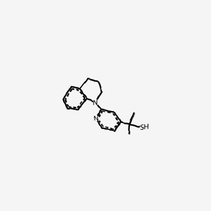 CC(C)(S)c1ccnc(N2CCCc3ccccc32)c1